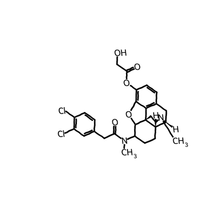 CN(C(=O)Cc1ccc(Cl)c(Cl)c1)C1CC[C@H]2[C@H]3Cc4ccc(OC(=O)CO)c5c4[C@@]2(CCN3C)C1O5